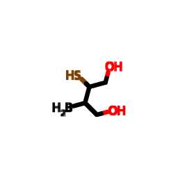 BC(CO)C(S)CO